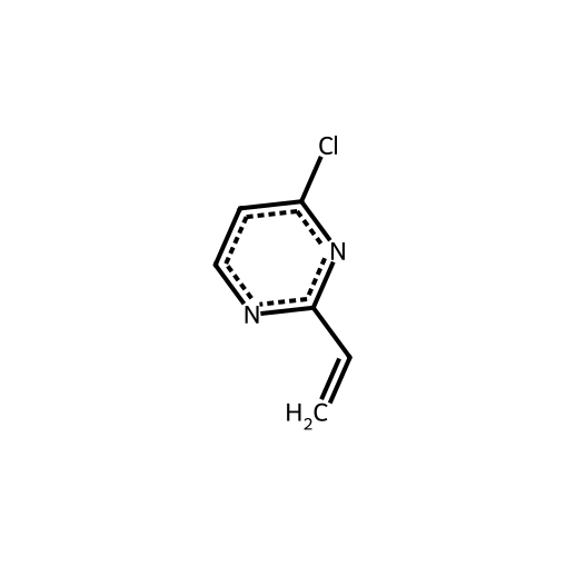 C=Cc1nccc(Cl)n1